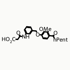 CCCCCC(=O)c1ccc(OCc2cccc(NC(=O)CC(=O)O)c2)cc1OC